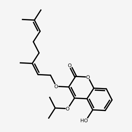 CC(C)=CCCC(C)=CCOc1c(OC(C)C)c2c(O)cccc2oc1=O